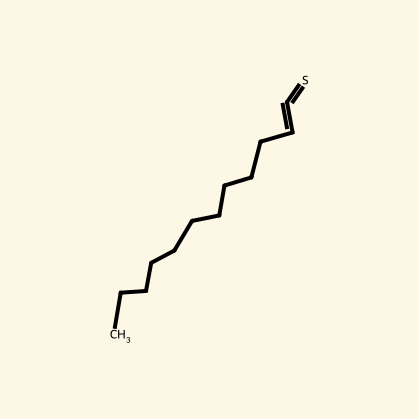 CCCCCCCCCCC=C=S